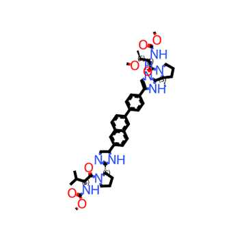 COC(=O)N[C@H](C(=O)N1CCC[C@H]1C1=NCC(c2ccc3cc(-c4ccc(C5=CNC([C@]6(C)CCCN6C(=O)[C@@H](NC(=O)OC)[C@H](C)OC)N5)cc4)ccc3c2)N1)C(C)C